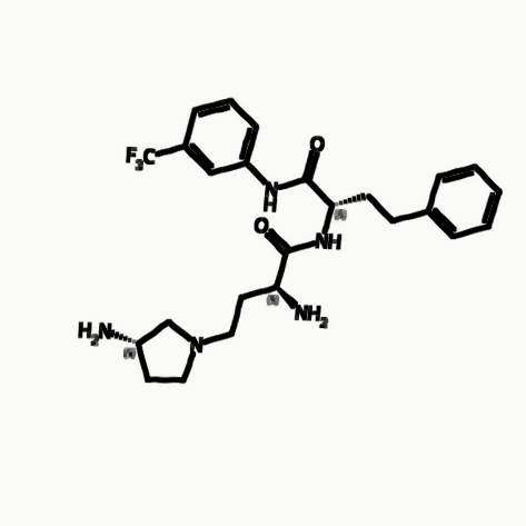 N[C@H]1CCN(CC[C@H](N)C(=O)N[C@@H](CCc2ccccc2)C(=O)Nc2cccc(C(F)(F)F)c2)C1